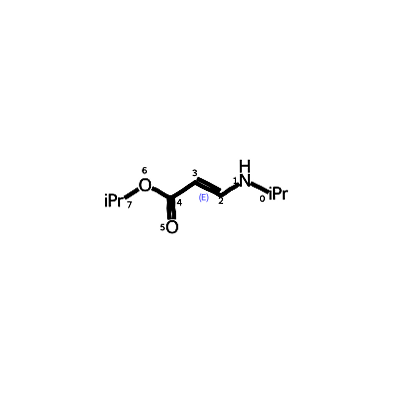 CC(C)N/C=C/C(=O)OC(C)C